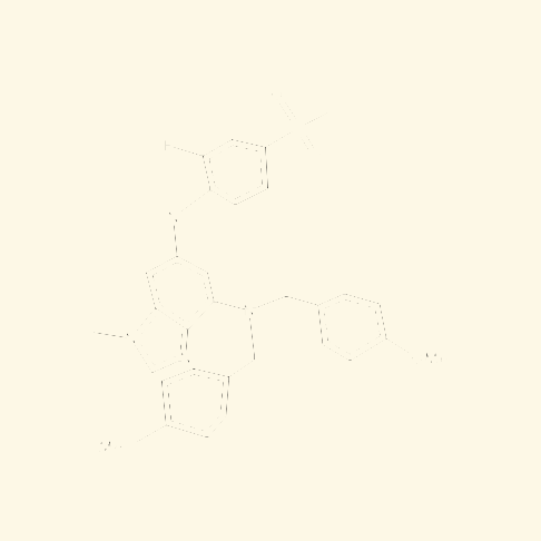 COc1ccc(CN(Cc2ccc(OC)cc2)c2cc(Nc3ccc(S(C)(=O)=O)cc3F)cc3c2ncn3C)cc1